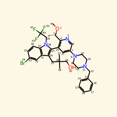 CO[C@@H](C)c1ncc(N2CCN(Cc3ccccc3)CC2)cc1-c1c(CC(C)(C)CO)c2cc(Br)ccc2n1CC(F)(F)F